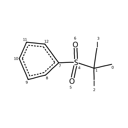 CC(I)(I)S(=O)(=O)c1ccccc1